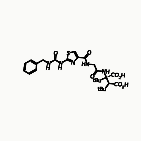 CC(C)(C)C(C(=O)O)[C@@](NC(=O)CNC(=O)c1csc(NC(=O)NCc2ccccc2)n1)(C(=O)O)C(C)(C)C